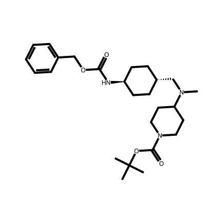 CN(C[C@H]1CC[C@H](NC(=O)OCc2ccccc2)CC1)C1CCN(C(=O)OC(C)(C)C)CC1